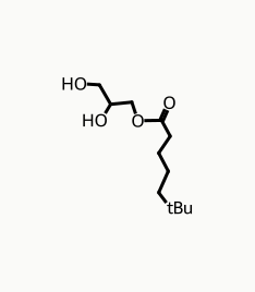 CC(C)(C)CCCCC(=O)OCC(O)CO